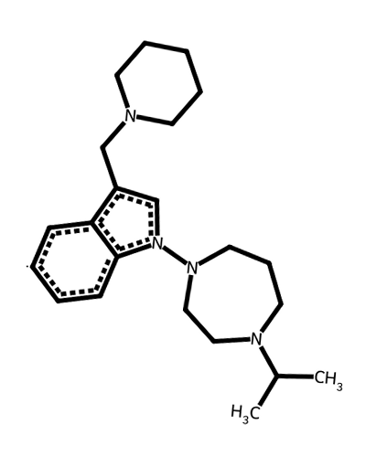 CC(C)N1CCCN(n2cc(CN3CCCCC3)c3c[c]ccc32)CC1